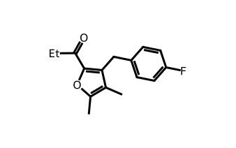 CCC(=O)c1oc(C)c(C)c1Cc1ccc(F)cc1